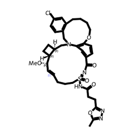 CO[C@H]1/C=C/CCCS(=O)(NC(=O)CCc2nnc(C)o2)=NC(=O)c2ccc3c(c2)N(Cc2ccc(Cl)cc2CCCCO3)C[C@@H]2CC[C@H]21